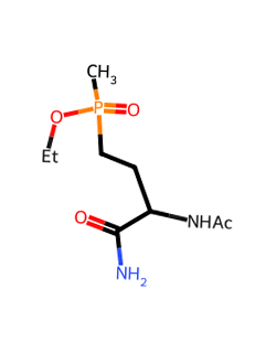 CCOP(C)(=O)CCC(NC(C)=O)C(N)=O